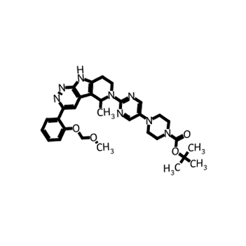 COCOc1ccccc1-c1cc2c3c([nH]c2nn1)CCN(c1ncc(N2CCN(C(=O)OC(C)(C)C)CC2)cn1)C3C